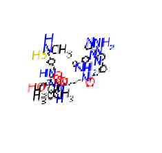 CC1=C(c2ccc(CNC(=O)[C@@H]3C[C@@H](O)CN3C(=O)[C@@H](NC(=O)CCCCCNC(=O)CCc3cccc(-c4ccc5nc(-c6cccnc6N)n(-c6ccc(C7(N)CCC7)cc6)c5n4)c3)C(C)(C)C)cc2)[SH]=CN1